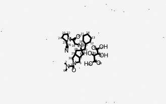 CN(C)C(=O)N1CC2CC(CC3CCCCC3)(NCC(=O)N3CCCC3C#N)CC2C1.O=C(O)C(O)C(O)C(=O)O